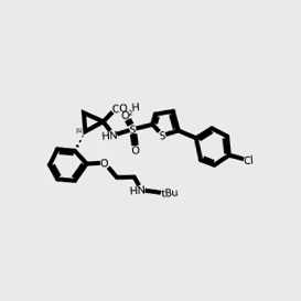 CC(C)(C)NCCOc1ccccc1[C@@H]1CC1(NS(=O)(=O)c1ccc(-c2ccc(Cl)cc2)s1)C(=O)O